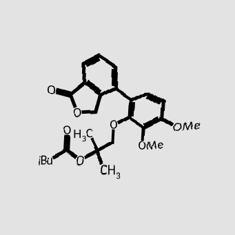 CCC(C)C(=O)OC(C)(C)COc1c(-c2cccc3c2COC3=O)ccc(OC)c1OC